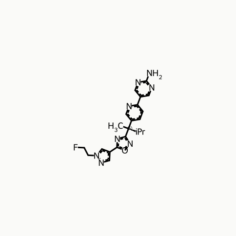 CC(C)[C@@](C)(c1ccc(-c2cnc(N)nc2)nc1)c1noc(-c2cnn(CCF)c2)n1